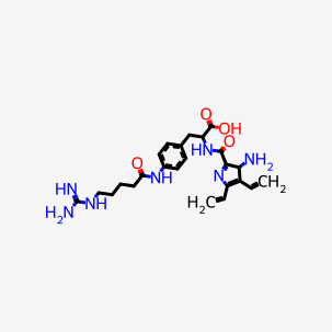 C=CC1=C(C=C)C(N)C(C(=O)NC(Cc2ccc(NC(=O)CCCCNC(=N)N)cc2)C(=O)O)=N1